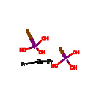 C[CH](C)[Zn][CH](C)C.OP(O)(O)=S.OP(O)(O)=S